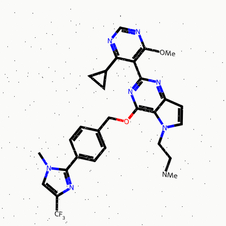 CNCCn1ccc2nc(-c3c(OC)ncnc3C3CC3)nc(OCc3ccc(-c4nc(C(F)(F)F)cn4C)cc3)c21